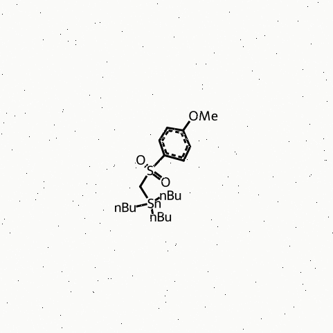 CCC[CH2][Sn]([CH2]CCC)([CH2]CCC)[CH2]S(=O)(=O)c1ccc(OC)cc1